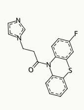 O=C(CCn1ccnc1)N1c2ccccc2Sc2cc(F)ccc21